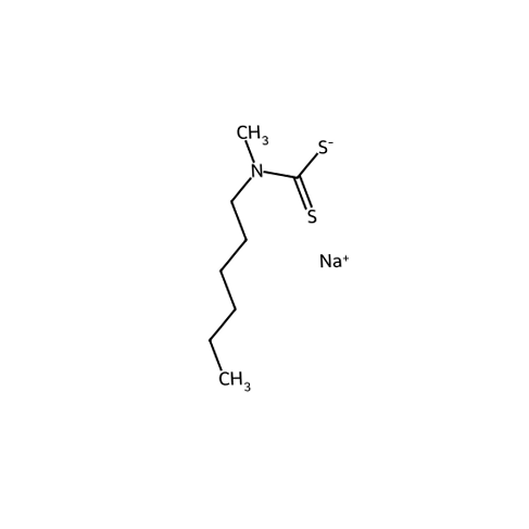 CCCCCCN(C)C(=S)[S-].[Na+]